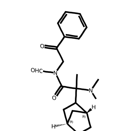 CN(C)C(C)(C(=O)N(C=O)CC(=O)c1ccccc1)C1C[C@@H]2CC[C@@H]1C2